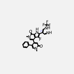 Cn1cc(-c2ccccc2)c(-c2cn(C)c(=O)c3[nH]c(/C(C=N)=C/NC(F)(F)F)c(F)c23)cc1=O